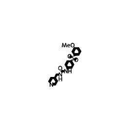 COc1cccc(S(=O)(=O)c2ccc(NC(=O)NCc3ccncc3)cc2)c1